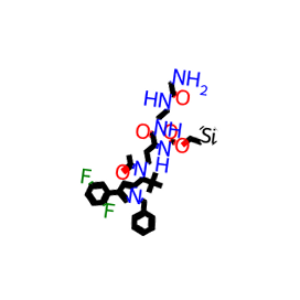 CC(=O)N(CCC(NC(=O)OCC[Si](C)(C)C)C(=O)NCCNC(=O)CN)C(c1cc(-c2cc(F)ccc2F)cn1Cc1ccccc1)C(C)(C)C